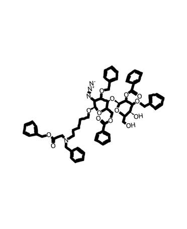 [N-]=[N+]=NC1C(OCc2ccccc2)[C@H](O[C@@H]2OC(CO)[C@@H](O)C(OCc3ccccc3)C2OC(=O)c2ccccc2)C(COC(=O)c2ccccc2)O[C@H]1OCCCCCN(CC(=O)OCc1ccccc1)Cc1ccccc1